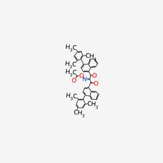 CC(=O)ON=C(C(=O)c1ccc(-c2c(C)cc(C)cc2C)c2ccccc12)C(=O)c1ccc(-c2c(C)cc(C)cc2C)c2ccccc12